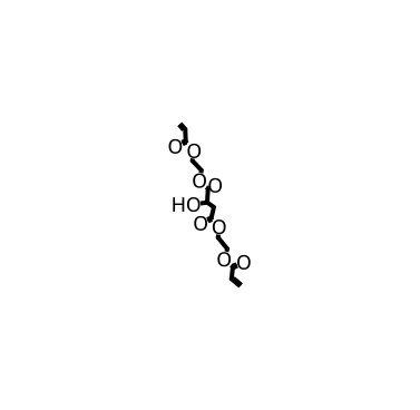 C=CC(=O)OCCOC(=O)CC(O)C(=O)OCCOC(=O)C=C